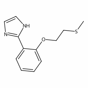 CSCCOc1ccccc1-c1ncc[nH]1